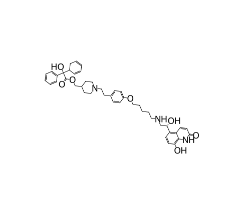 O=C(OCC1CCN(CCc2ccc(OCCCCCNC[C@H](O)c3ccc(O)c4[nH]c(=O)ccc34)cc2)CC1)C(O)(c1ccccc1)C1C=CC=CC1